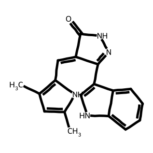 Cc1cc(C)c(/C=C2/C(=O)NN=C2c2c[nH]c3ccccc23)[nH]1